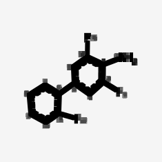 Nc1c(F)cc(-c2ccccc2F)cc1F